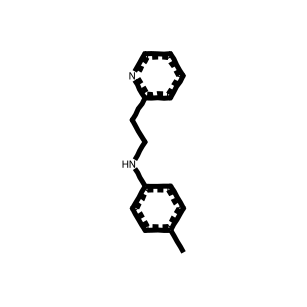 Cc1ccc(NCCc2ccccn2)cc1